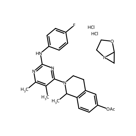 C1CN2CC2O1.CC(=O)Oc1ccc2c(c1)CCN(c1nc(Nc3ccc(F)cc3)nc(C)c1C)C2C.Cl.Cl